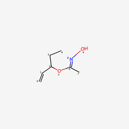 C=CC(CC)OC(C)=NO